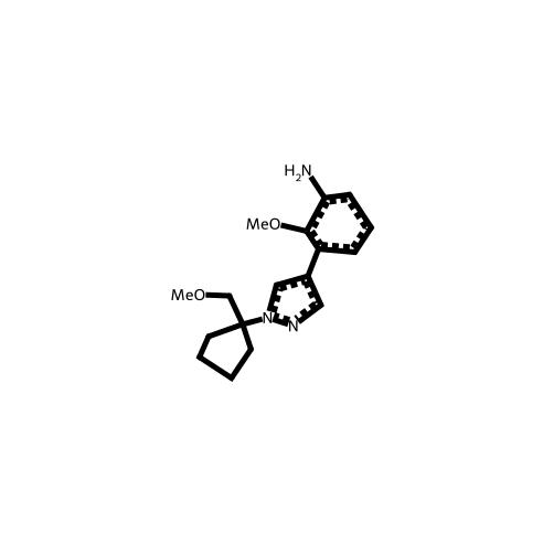 COCC1(n2cc(-c3cccc(N)c3OC)cn2)CCCC1